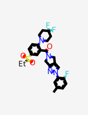 CCS(=O)(=O)c1ccc(N2CCC(F)(F)CC2)c(C(=O)N2Cc3cn(-c4cc(C)ccc4F)nc3C2)c1